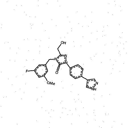 COc1cc(F)cc(Cn2c(CO)nn(-c3ccc(-c4cn[nH]c4)cc3)c2=O)c1